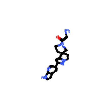 NCC(=O)N1CCC2(CCn3nc(-c4cnc5[nH]ccc5c4)cc32)C1